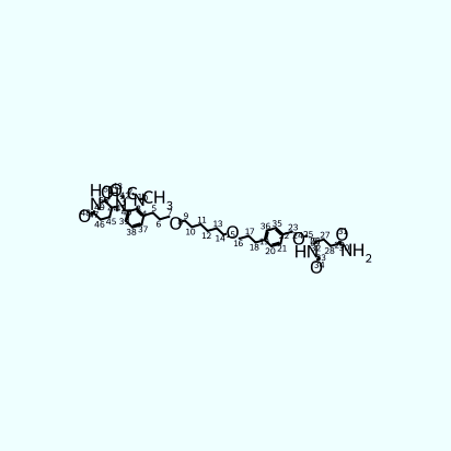 CN(C)c1c(CCCOCCCCCCOCCCc2ccc(COC[C@H](CCC(N)=O)NC=O)cc2)cccc1N(C=O)C1CCC(=O)NC1=O